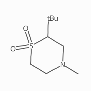 CN1CCS(=O)(=O)C(C(C)(C)C)C1